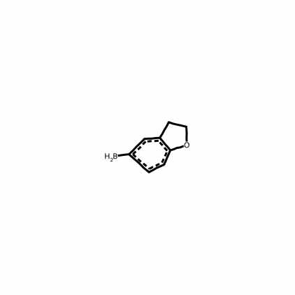 Bc1ccc2c(c1)CCO2